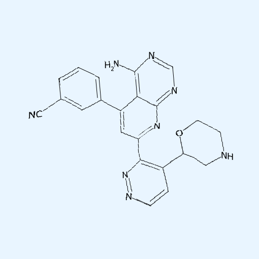 N#Cc1cccc(-c2cc(-c3nnccc3C3CNCCO3)nc3ncnc(N)c23)c1